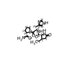 CCC1CC(=O)N[C@@H]1C(=O)N[C@@H](Cc1c[nH]cn1)C(=O)N1CCC[C@H]1C(N)=O